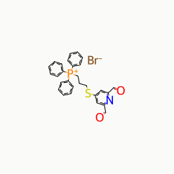 O=Cc1cc(SCCC[P+](c2ccccc2)(c2ccccc2)c2ccccc2)cc(C=O)n1.[Br-]